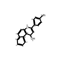 CC(C)c1ccc(C2=CC(O)c3c(ccc4ccccc34)O2)cc1